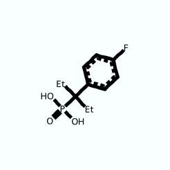 CCC(CC)(c1ccc(F)cc1)P(=O)(O)O